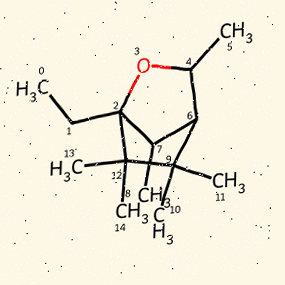 CCC12OC(C)C(C1C)C(C)(C)C2(C)C